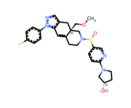 COC[C@]12Cc3cnn(-c4ccc(F)cc4)c3C=C1CCN([S+]([O-])c1ccc(N3CC[C@H](O)C3)nc1)C2